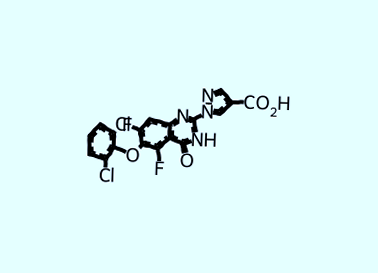 O=C(O)c1cnn(-c2nc3cc(F)c(Oc4c(Cl)cccc4Cl)c(F)c3c(=O)[nH]2)c1